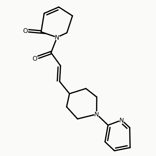 O=C1C=CCCN1C(=O)C=CC1CCN(c2ccccn2)CC1